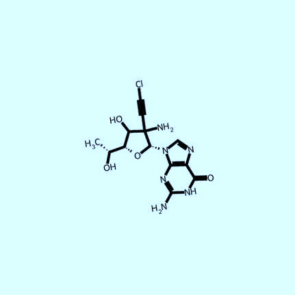 C[C@@H](O)[C@H]1O[C@@H](n2cnc3c(=O)[nH]c(N)nc32)C(N)(C#CCl)C1O